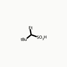 CCC(C(C)(C)C)S(=O)(=O)O